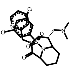 CN(C)C[C@H]1CN(Cc2ccccn2)C(=O)C2CCCC1N2S(=O)(=O)c1cc(Cl)cc(Cl)c1